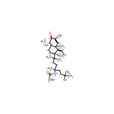 CCC(C)(C)CC[C@@](C)(CCC(C)(C)[C@]1(C)CC[C@H]2[C@H](C)C(=O)C(C#N)=C[C@]2(C)/C1=C/C(C)=O)NC(=O)OC